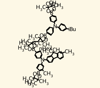 CCCCCCc1cc(N(c2ccc(B3OC(C)(C)C(C)(C)O3)c(C)c2)c2ccc3c(c2)C(C)(C)c2cc(C)ccc2-3)ccc1B1OC(C)(C)C(C)(CCC2(C)OB(c3ccc(N(c4ccc(B5OC(C)(C)C(C)(C)O5)cc4)c4ccc(C(C)CC)cc4)cc3)OC2(C)C)O1